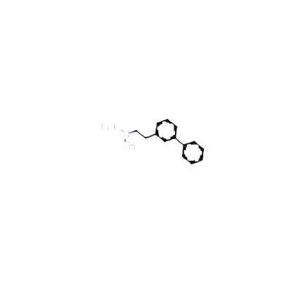 CN(C)CCc1cccc(-c2ccccc2)c1